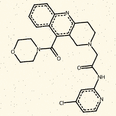 O=C(CN1CCc2nc3ccccc3c(C(=O)N3CCOCC3)c2C1)Nc1cc(Cl)ccn1